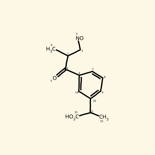 CC(CN=O)C(=O)c1cccc(C(C)C(=O)O)c1